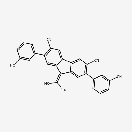 N#CC(C#N)=C1c2cc(-c3cccc(C#N)c3)c(C#N)cc2-c2cc(C#N)c(-c3cccc(C#N)c3)cc21